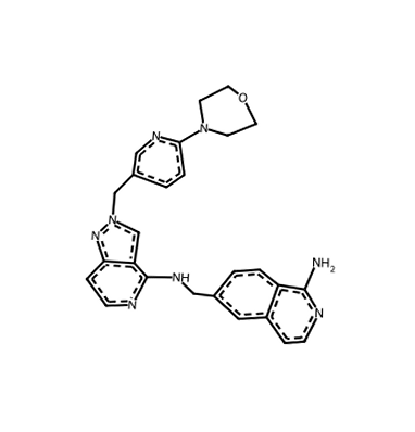 Nc1nccc2cc(CNc3nccc4nn(Cc5ccc(N6CCOCC6)nc5)cc34)ccc12